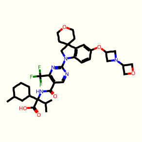 CC1CCCC(C(NC(=O)c2cnc(N3CC4(CCOCC4)c4cc(OC5CN(C6COC6)C5)ccc43)nc2C(F)(F)F)(C(=O)O)C(C)C)C1